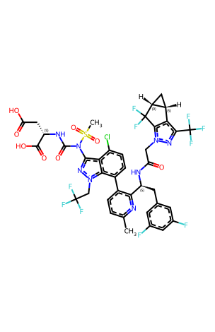 Cc1ccc(-c2ccc(Cl)c3c(N(C(=O)N[C@@H](CC(=O)O)C(=O)O)S(C)(=O)=O)nn(CC(F)(F)F)c23)c([C@H](Cc2cc(F)cc(F)c2)NC(=O)Cn2nc(C(F)(F)F)c3c2C(F)(F)[C@@H]2C[C@H]32)n1